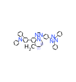 C=C1/C=C\C=C/CN(c2nccn2-c2ccc(-c3nc(-c4ccccc4)nc(-c4ccccc4)n3)cc2)c2ccc(-c3ccc4c(c3)c3ccccc3n4-c3ccccc3)cc21